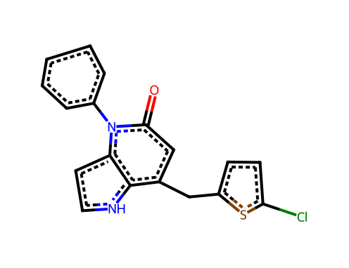 O=c1cc(Cc2ccc(Cl)s2)c2[nH]ccc2n1-c1ccccc1